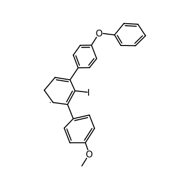 COc1ccc(C2=C(I)C(c3ccc(Oc4ccccc4)cc3)=CC[CH]2)cc1